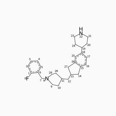 Fc1ccccc1CN1CCC(CC2Cc3ccc(C4CCNCC4)cc3C2)CC1